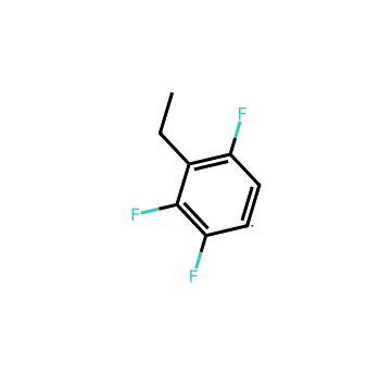 CCc1c(F)c[c]c(F)c1F